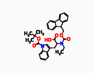 CCN(C(=O)OCC1c2ccccc2-c2ccccc21)C(Cc1cn(C(=O)OC(C)(C)C)c2ccccc12)C(=O)O